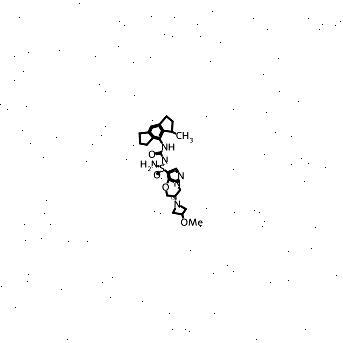 COC1CN([C@@H]2COc3c(S(N)(=O)=NC(=O)Nc4c5c(cc6c4C(C)CC6)CCC5)cnn3C2)C1